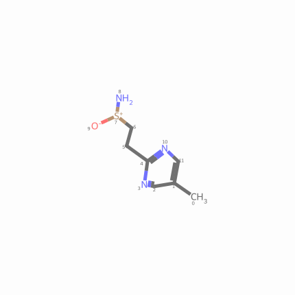 Cc1cnc(CC[S+](N)[O-])nc1